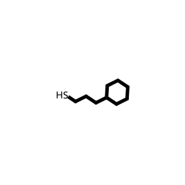 SCCCC1CCCCC1